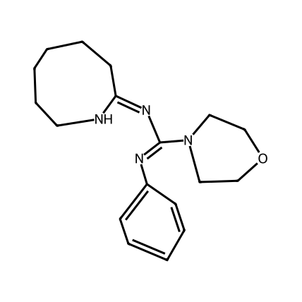 c1ccc(N=C(N=C2CCCCCCN2)N2CCOCC2)cc1